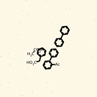 CC(=O)O.CC(=O)c1ccccc1-c1ccccc1.O=C(O)Cc1ccccc1.c1ccc(-c2ccccc2)cc1